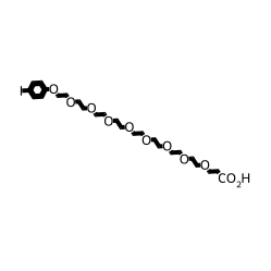 O=C(O)CCOCCOCCOCCOCCOCCOCCOCCOCCOc1ccc(I)cc1